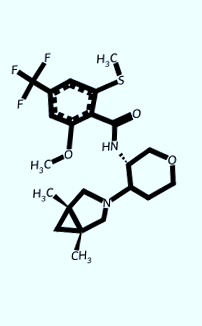 COc1cc(C(F)(F)F)cc(SC)c1C(=O)N[C@@H]1COCCC1N1C[C@@]2(C)C[C@@]2(C)C1